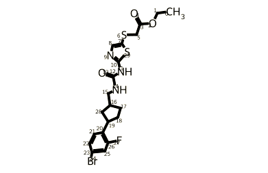 CCOC(=O)CSc1cnc(NC(=O)NCC2CCC(c3ccc(Br)cc3F)C2)s1